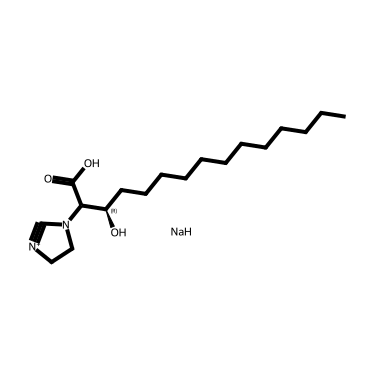 CCCCCCCCCCCC[C@@H](O)C(C(=O)O)N1C#[N+]CC1.[NaH]